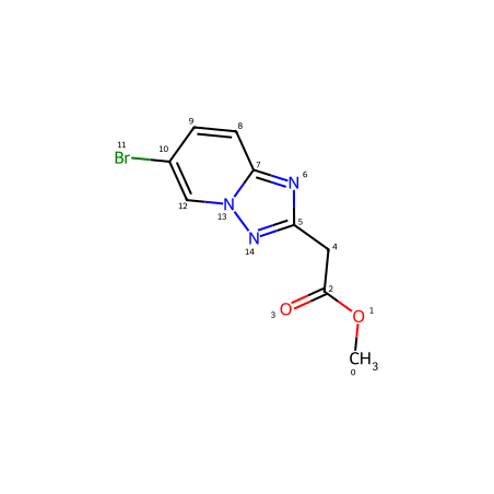 COC(=O)Cc1nc2ccc(Br)cn2n1